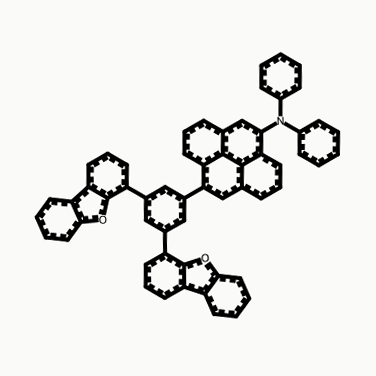 c1ccc(N(c2ccccc2)c2cc3cccc4c(-c5cc(-c6cccc7c6oc6ccccc67)cc(-c6cccc7c6oc6ccccc67)c5)cc5cccc2c5c34)cc1